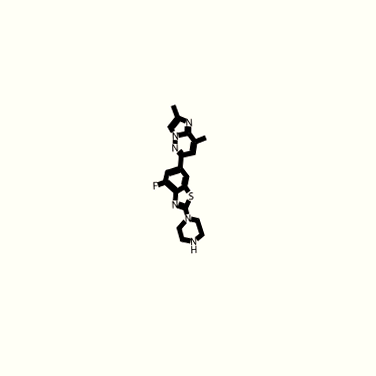 Cc1cn2nc(-c3cc(F)c4nc(N5CCNCC5)sc4c3)cc(C)c2n1